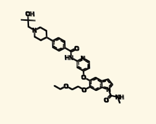 CCOCCOc1cc2c(ccn2C(=O)NC)cc1Oc1ccnc(NC(=O)c2ccc(C3CCN(CC(C)(C)O)CC3)cc2)c1